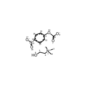 C[N+](C)(C)CCO.O=C([O-])Oc1ccc([N+](=O)[O-])cc1